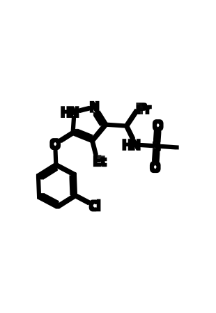 CCc1c(C(NS(C)(=O)=O)C(C)C)n[nH]c1Oc1cccc(Cl)c1